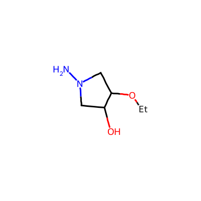 CCOC1CN(N)CC1O